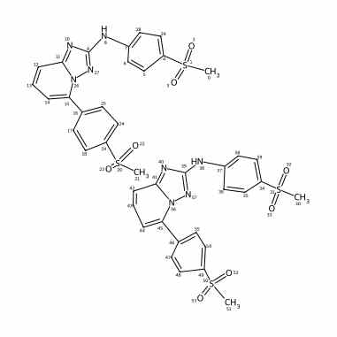 CS(=O)(=O)c1ccc(Nc2nc3cccc(-c4ccc(S(C)(=O)=O)cc4)n3n2)cc1.CS(=O)(=O)c1ccc(Nc2nc3cccc(-c4ccc(S(C)(=O)=O)cc4)n3n2)cc1